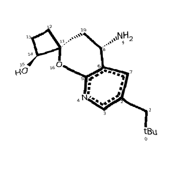 CC(C)(C)Cc1cnc2c(c1)[C@@H](N)C[C@]1(CC[C@@H]1O)O2